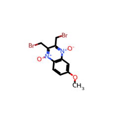 COc1ccc2c(c1)[n+]([O-])c(CBr)c(CBr)[n+]2[O-]